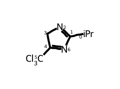 CC(C)C1=NCC(C(Cl)(Cl)Cl)=N1